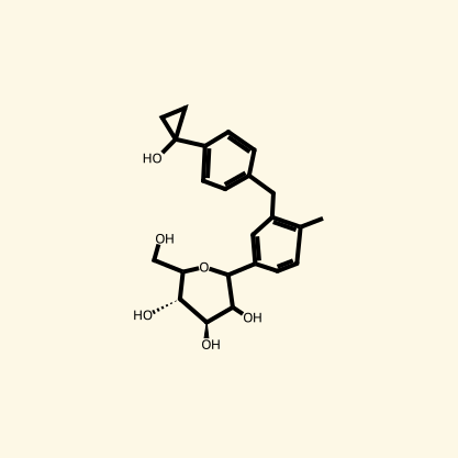 Cc1ccc(C2OC(CO)[C@@H](O)[C@H](O)C2O)cc1Cc1ccc(C2(O)CC2)cc1